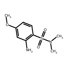 COc1ccc(S(=O)(=O)N(C)C)c(N)c1